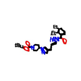 CCc1cccc(C(=O)NCCCc2cnn(C3CCN(C(=O)OC(C)(C)C)CC3)c2)c1CC